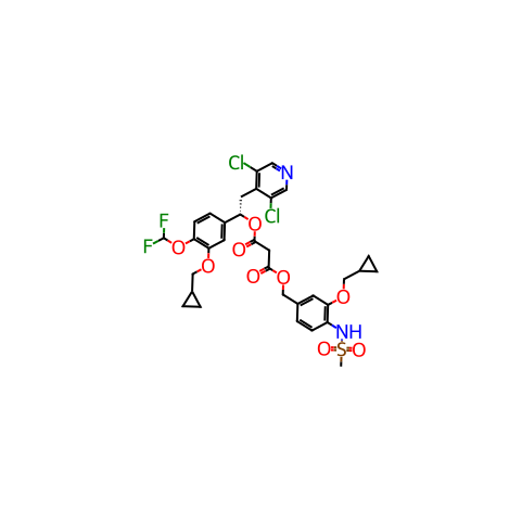 CS(=O)(=O)Nc1ccc(COC(=O)CC(=O)O[C@@H](Cc2c(Cl)cncc2Cl)c2ccc(OC(F)F)c(OCC3CC3)c2)cc1OCC1CC1